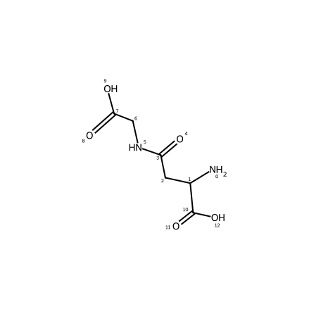 NC(CC(=O)NCC(=O)O)C(=O)O